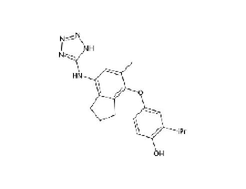 Cc1cc(Nc2nnn[nH]2)c2c(c1Oc1ccc(O)c(C(C)C)c1)CCC2